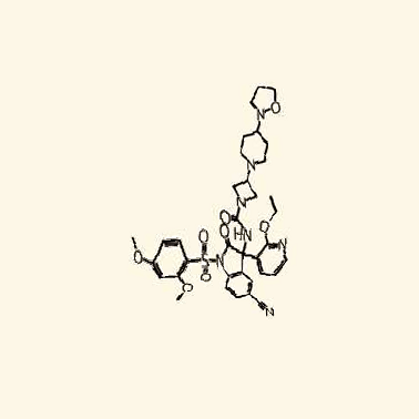 CCOc1ncccc1C1(NC(=O)N2CC(N3CCC(N4CCCO4)CC3)C2)C(=O)N(S(=O)(=O)c2ccc(OC)cc2OC)c2ccc(C#N)cc21